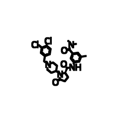 Cc1cc(NC(=O)[C@H]2CCC(=O)N2C2CCN(Cc3ccc(Cl)c(Cl)c3)CC2)cc(C(=O)N(C)C)c1